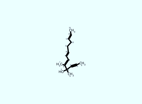 CC#CC(C)(O)/C(C)=C/C=C/CC/C=C/C